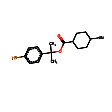 CCC(C)C1CCC(C(=O)OC(C)(C)c2ccc(S)cc2)CC1